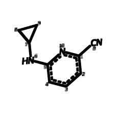 N#Cc1cccc(NC2CC2)n1